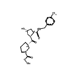 CC(C)(C)OC(=O)N1CCC[C@H](C(=O)N2C[C@H](O)C[C@@H]2C(=O)NCc2ccc(C(F)(F)F)cc2)C1